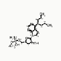 B[PH](O)(OC)OC[C@@H]1C[C@H](O)[C@H](n2cnc3c(N(CCC)CCC)ncnc32)O1